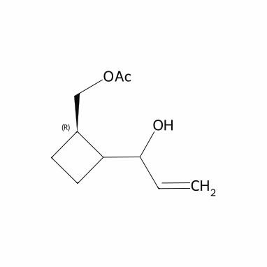 C=CC(O)C1CC[C@H]1COC(C)=O